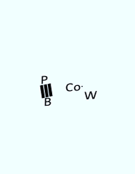 B#P.[Co].[W]